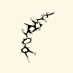 Cc1c(C(=O)N2CCN(c3ccc(F)c(Cl)c3)CC2)sc2ncn(CC(=O)NC(C)(C)C)c(=O)c12